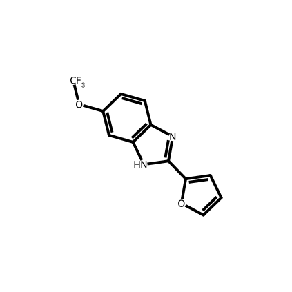 FC(F)(F)Oc1ccc2nc(-c3ccco3)[nH]c2c1